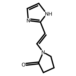 O=C1CCCN1C=Cc1ncc[nH]1